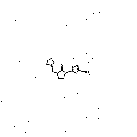 O=[N+]([O-])c1cnc(N2CCN(CN3CCCC3)C2=S)s1